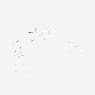 FC(F)=C(F)CCCCOc1ccc(-c2ccc(Cn3ccc4nc(-c5cccc(F)c5F)nc-4c3)cc2)c(C(F)(F)F)c1